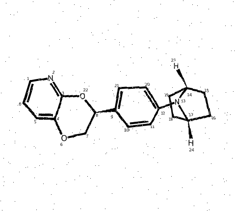 c1cnc2c(c1)OC[C@H](c1ccc(N3[C@H]4CC[C@@H]3CC4)cc1)O2